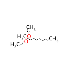 CCCCCCCCC(C)(OCCC)OCCC